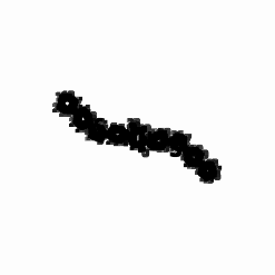 CC1CN(c2ccc(-c3ccc(-c4ccc(-c5ccccc5)cc4)s3)cc2)C(C)CN1c1ccc(-c2ccc(-c3ccc(-c4ccccc4)cc3)s2)cc1